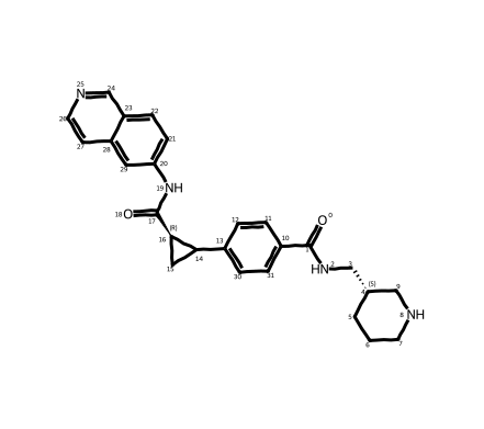 O=C(NC[C@H]1CCCNC1)c1ccc(C2C[C@H]2C(=O)Nc2ccc3cnccc3c2)cc1